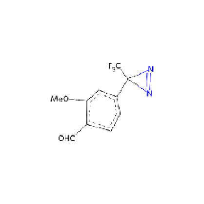 COc1cc(C2(C(F)(F)F)N=N2)ccc1C=O